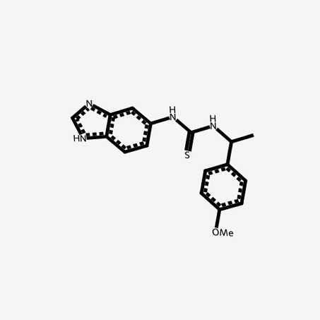 COc1ccc(C(C)NC(=S)Nc2ccc3[nH]cnc3c2)cc1